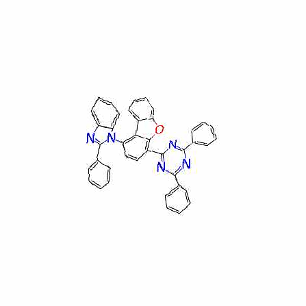 c1ccc(-c2nc(-c3ccccc3)nc(-c3ccc(-n4c(-c5ccccc5)nc5ccccc54)c4c3oc3ccccc34)n2)cc1